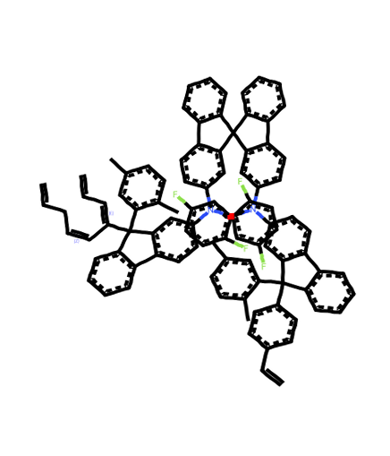 C=C/C=C(\C=C/CC=C)C1(c2cc(C)ccc2C)c2ccccc2-c2ccc(N(c3ccc4c(c3)C3(c5ccccc5-4)c4ccccc4-c4ccc(N(c5ccc6c(c5)C(c5ccc(C=C)cc5)(c5cc(C)ccc5C)c5ccccc5-6)c5cc(F)ccc5F)cc43)c3cc(F)ccc3F)cc21